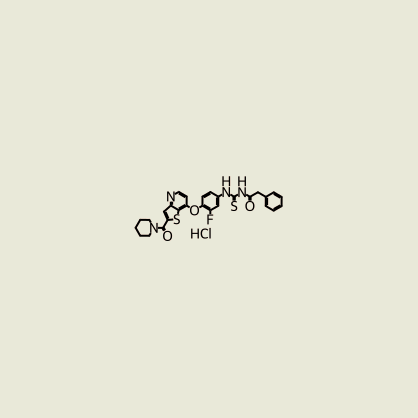 Cl.O=C(Cc1ccccc1)NC(=S)Nc1ccc(Oc2ccnc3cc(C(=O)N4CCCCC4)sc23)c(F)c1